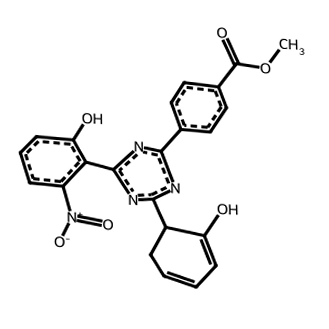 COC(=O)c1ccc(-c2nc(-c3c(O)cccc3[N+](=O)[O-])nc(C3CC=CC=C3O)n2)cc1